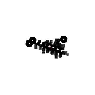 C=C1C(=O)c2c(ccc(NC(=O)Nc3cccc4ccccc34)c2O)[C@H](C)[C@H]1[C@H](OC(=O)Nc1ccccc1)[C@H]1[C@H](N(C)C)C(O)=C(C(N)=O)C(=O)[C@]1(C)O